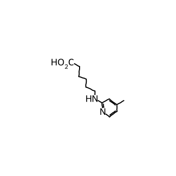 Cc1ccnc(NCCCCCC(=O)O)c1